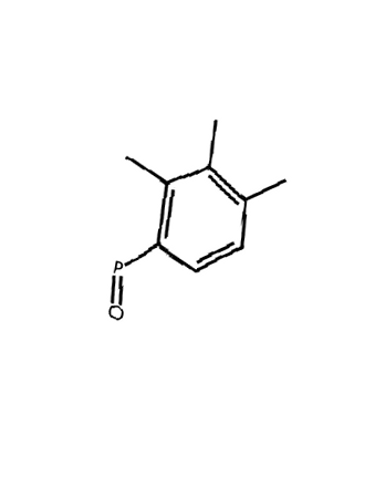 Cc1ccc(P=O)c(C)c1C